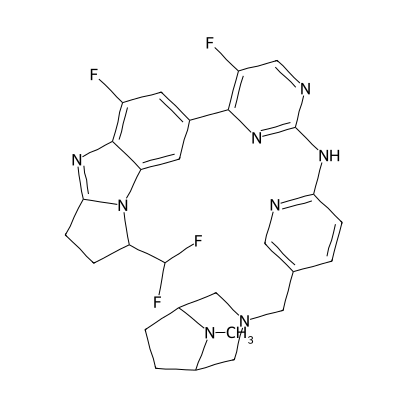 CN1C2CCC1CN(Cc1ccc(Nc3ncc(F)c(-c4cc(F)c5nc6n(c5c4)C(C(F)F)CC6)n3)nc1)C2